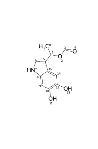 CC(OC=O)c1c[nH]c2cc(O)c(O)cc12